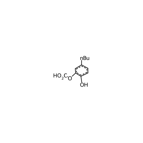 CCCCc1ccc(O)c(OC(=O)O)c1